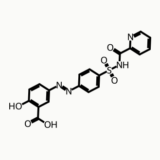 O=C(NS(=O)(=O)c1ccc(N=Nc2ccc(O)c(C(=O)O)c2)cc1)c1ccccn1